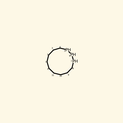 C1CCCCPPPCCCC1